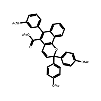 COC(=O)c1c2c(c3ccccc3c1-c1cccc(NC(C)=O)c1)OC(c1ccc(OC)cc1)(c1ccc(OC)cc1)C=C2